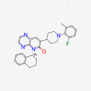 Cc1cccc(F)c1N1CCC(c2cc3nccnc3n([C@@H]3CCCc4ccccc43)c2=O)CC1